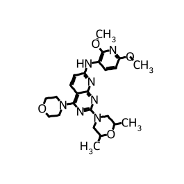 COc1ccc(Nc2ccc3c(N4CCOCC4)nc(N4CC(C)OC(C)C4)nc3n2)c(OC)n1